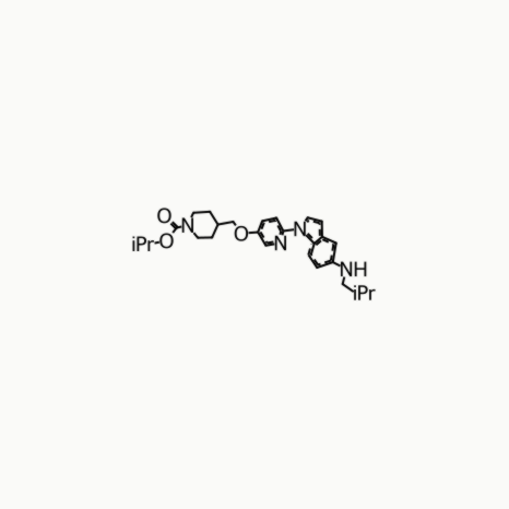 CC(C)CNc1ccc2c(ccn2-c2ccc(OCC3CCN(C(=O)OC(C)C)CC3)cn2)c1